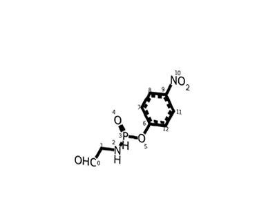 O=CCN[PH](=O)Oc1ccc([N+](=O)[O-])cc1